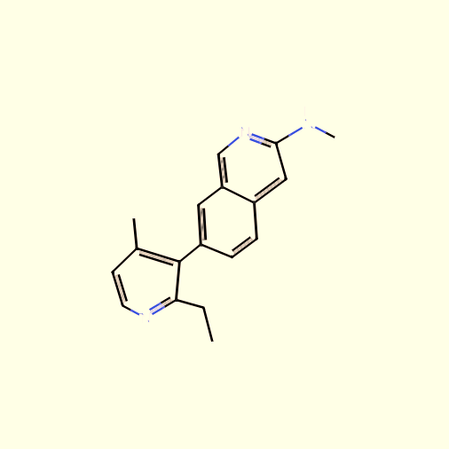 CCc1nccc(C)c1-c1ccc2cc(NC)ncc2c1